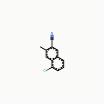 Cc1cc2c(Cl)cccc2cc1C#N